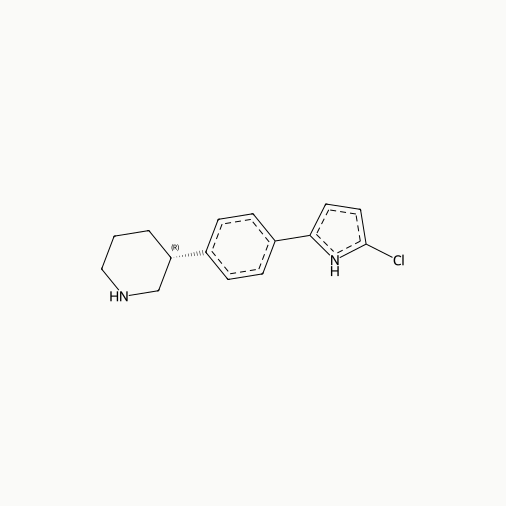 Clc1ccc(-c2ccc([C@H]3CCCNC3)cc2)[nH]1